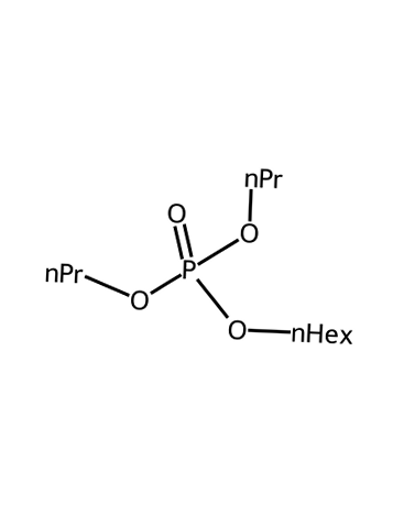 CCCCCCOP(=O)(OCCC)OCCC